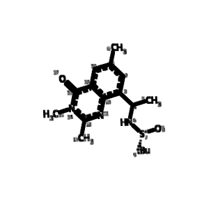 Cc1cc(C(C)N[S@+]([O-])C(C)(C)C)c2nc(C)n(C)c(=O)c2c1